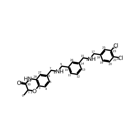 CC1Oc2ccc(CNCc3cccc(CNCc4ccc(Cl)c(Cl)c4)c3)cc2NC1=O